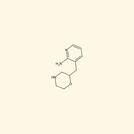 Nc1ncccc1CC1CNCCO1